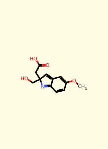 COc1ccc2c(c1)=CC(CO)(CC(=O)O)N=2